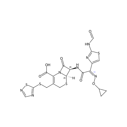 O=CNc1nc(/C(=N/OC2CC2)C(=O)N[C@@H]2C(=O)N3C(C(=O)O)=C(CSc4ncns4)CS[C@H]23)cs1